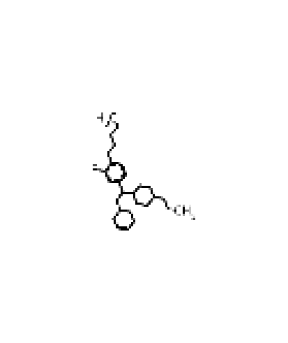 CCCCCc1ccc(C(CC2CC=CCC2)C2CCC(CCC)CC2)cc1F